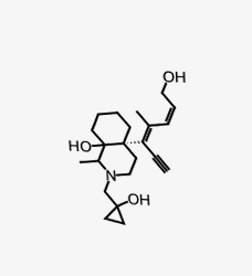 C#C/C(=C(C)\C=C/CO)[C@@]12CCCCC1(O)C(C)N(CC1(O)CC1)CC2